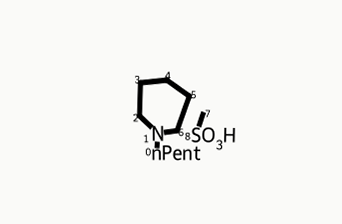 CCCCCN1CCCCC1.CS(=O)(=O)O